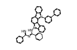 N=C(/N=C(\Nn1c2ccccc2c2c1ccc1c3ccccc3n(-c3cccc(-c4ccccc4)c3)c12)C1=CCCC=C1)c1ccccc1